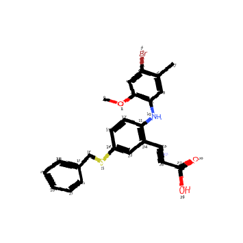 COc1cc(Br)c(C)cc1Nc1ccc(SCc2ccccc2)cc1/C=C/C(=O)O